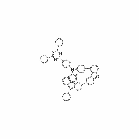 c1ccc(-c2nc(-c3ccccc3)nc(-c3ccc(-n4c5ccccc5c5cc(-c6cccc7oc8ccc(-c9ccc%10c(c9)c9ccccc9n%10-c9ccccc9)cc8c67)ccc54)cc3)n2)cc1